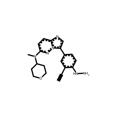 C#Cc1cc(-c2cnc3ccc(N(C)C4CCOCC4)nn23)ccc1NN